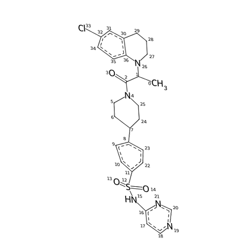 CC(C(=O)N1CCC(c2ccc(S(=O)(=O)Nc3ccncn3)cc2)CC1)N1CCCc2cc(Cl)ccc21